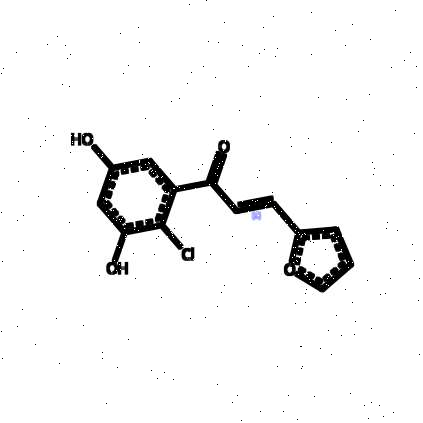 O=C(/C=C/c1ccco1)c1cc(O)cc(O)c1Cl